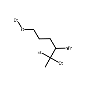 CCC[C](CCCOCC)C(C)(CC)CC